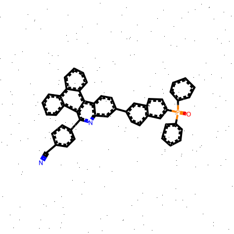 N#Cc1ccc(-c2nc3cc(-c4ccc5cc(P(=O)(c6ccccc6)c6ccccc6)ccc5c4)ccc3c3c4ccccc4c4ccccc4c23)cc1